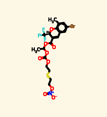 Cc1cc(Br)cc2c1O[C@H](C(F)(F)F)C(C(=O)OC(C)OC(=O)OCCSCCO[N+](=O)[O-])=C2